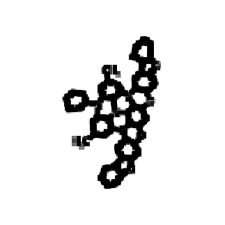 Cc1cc2c3c(c1)N(c1ccccc1)c1cc(C)cc4c1N3c1c3c(cc5c1B4c1cc4c(cc1O5)oc1ccccc14)Oc1cc4oc5ccccc5c4cc1B23